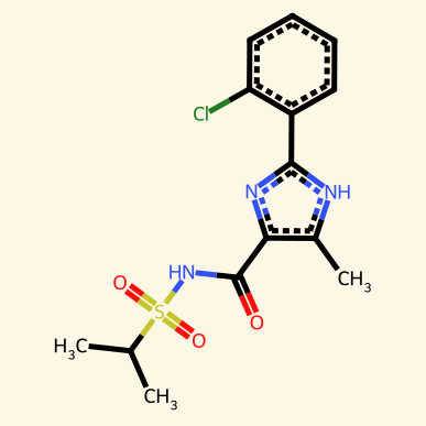 Cc1[nH]c(-c2ccccc2Cl)nc1C(=O)NS(=O)(=O)C(C)C